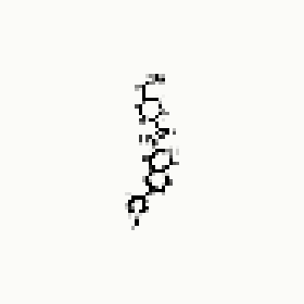 Cn1cc(-c2ccc3c(c2)C=C(NC(=O)C2CCN(CC(C)(C)C)CC2)NC3)cn1